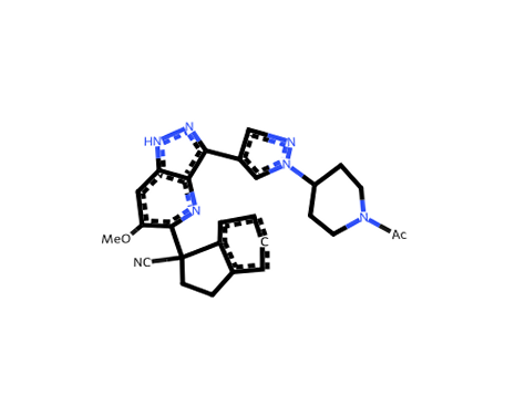 COc1cc2[nH]nc(-c3cnn(C4CCN(C(C)=O)CC4)c3)c2nc1C1(C#N)CCc2ccccc21